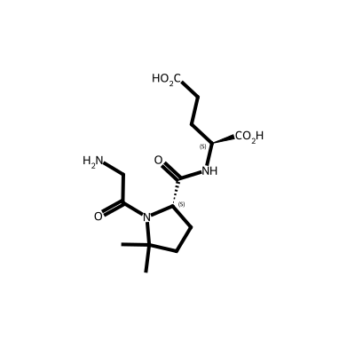 CC1(C)CC[C@@H](C(=O)N[C@@H](CCC(=O)O)C(=O)O)N1C(=O)CN